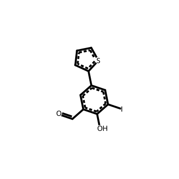 O=Cc1cc(-c2cccs2)cc(I)c1O